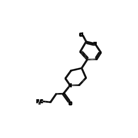 O=C(CCC(F)(F)F)N1CCC(c2ccnc(Cl)c2)CC1